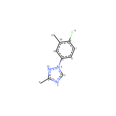 Cc1ncn(-c2ccc(F)c(C)c2)n1